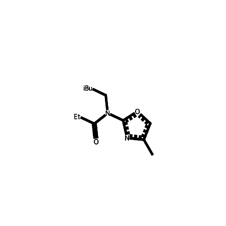 CCC(=O)N(CC(C)CC)c1nc(C)co1